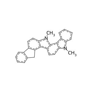 Cn1c2ccccc2c2c1ccc1c3c4c(ccc3n(C)c12)-c1ccccc1C4